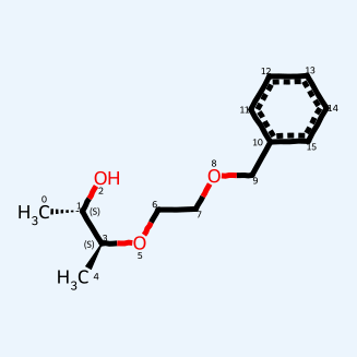 C[C@H](O)[C@H](C)OCCOCc1ccccc1